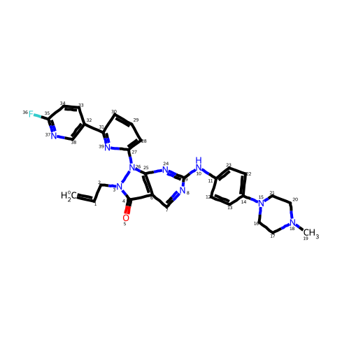 C=CCn1c(=O)c2cnc(Nc3ccc(N4CCN(C)CC4)cc3)nc2n1-c1cccc(-c2ccc(F)nc2)n1